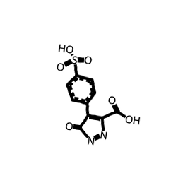 O=C(O)C1=C(c2ccc(S(=O)(=O)O)cc2)C(=O)N=N1